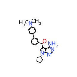 CN(C)c1ccc(-c2cccc(C(=O)c3cn(C4CCCC4)c4ncnc(N)c34)c2)cc1